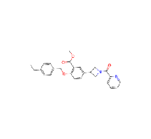 CCc1ccc(COc2ccc(C3CN(C(=O)c4ccccn4)C3)cc2C(=O)OC)cc1